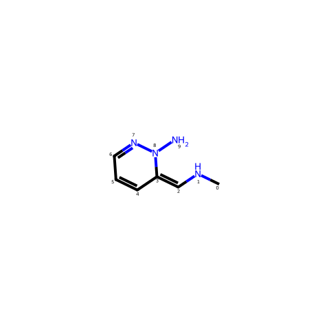 CN/C=C1/C=CC=NN1N